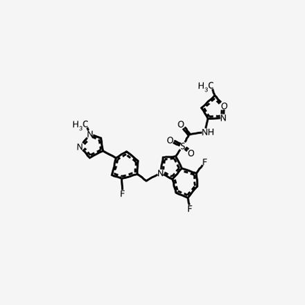 Cc1cc(NC(=O)S(=O)(=O)c2cn(Cc3ccc(-c4cnn(C)c4)cc3F)c3cc(F)cc(F)c23)no1